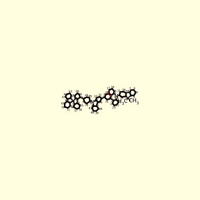 CC1(C)c2ccccc2-c2ccc(N(c3ccccc3)c3ccccc3-c3cccc(-c4ccc5c(c4)c4ccccc4n5-c4ccc(-c5cccc6c5-c5ccccc5C6(c5ccccc5)c5ccccc5)cc4)c3)cc21